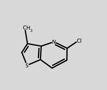 Cc1csc2ccc(Cl)nc12